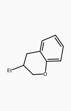 CCC1COc2ccccc2C1